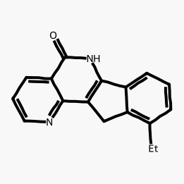 CCc1cccc2c1Cc1c-2[nH]c(=O)c2cccnc12